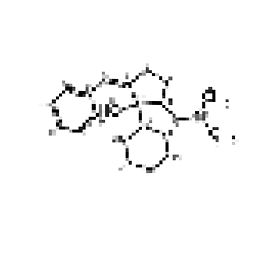 CN(C)CC1CCC(=Cc2ccccc2)C1(O)C1CCCCC1